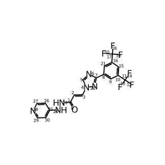 O=C(C=Cn1cnc(-c2cc(C(F)(F)F)cc(C(F)(F)F)c2)n1)NNc1ccncc1